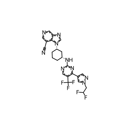 N#Cc1cncc2ncn([C@H]3CCC[C@@H](Nc4ncc(C(F)(F)F)c(-c5cnn(CC(F)F)c5)n4)C3)c12